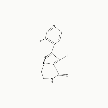 O=C1NCCn2nc(-c3ccncc3F)c(I)c21